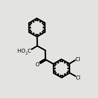 O=C(CC(C(=O)O)c1ccccc1)c1ccc(Cl)c(Cl)c1